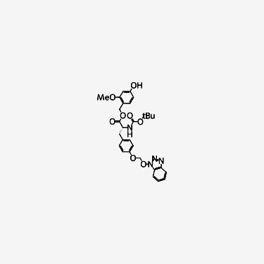 COc1cc(O)ccc1COC(=O)[C@@H](Cc1ccc(OCOn2nnc3c2C=C=C=C3)cc1)NC(=O)OC(C)(C)C